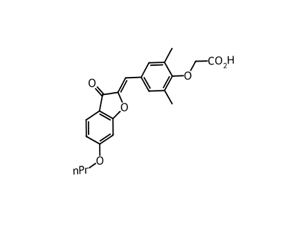 CCCOc1ccc2c(c1)O/C(=C\c1cc(C)c(OCC(=O)O)c(C)c1)C2=O